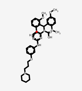 COc1ccc(OC)c(C(c2c(OC)cccc2OC)N(C(=O)O)c2ccnc(Nc3cccc(OCCCN4CCCCC4)c3)n2)c1